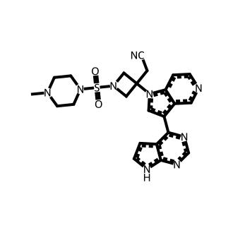 CN1CCN(S(=O)(=O)N2CC(CC#N)(n3cc(-c4ncnc5[nH]ccc45)c4cnccc43)C2)CC1